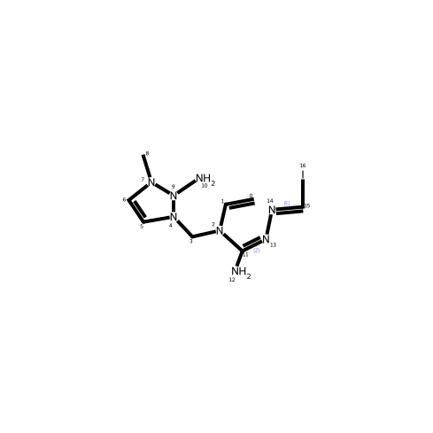 C=CN(CN1C=CN(C)N1N)/C(N)=N\N=C\I